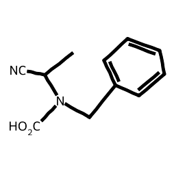 CC(C#N)N(Cc1ccccc1)C(=O)O